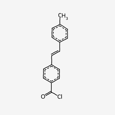 Cc1ccc(/C=C/c2ccc(C(=O)Cl)cc2)cc1